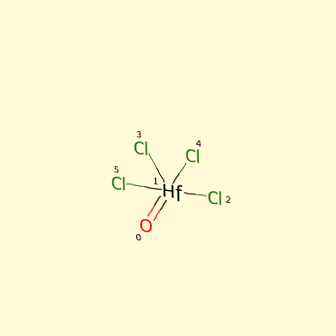 [O]=[Hf]([Cl])([Cl])([Cl])[Cl]